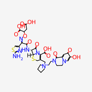 Nc1nc(/C(=N/OC(CC(=O)O)C(=O)O)C(=O)N[C@@H]2C(=O)N3C(C(=O)O)=C(C[N+]4(CCN5CCn6cc(O)c(=O)cc6C5=O)CCCC4)CS[C@H]23)cs1